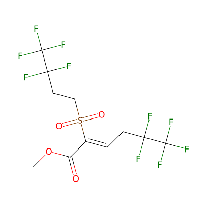 COC(=O)C(=CCC(F)(F)C(F)(F)F)S(=O)(=O)CCC(F)(F)C(F)(F)F